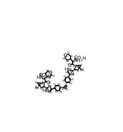 O=C(O)N[C@@H](C(=O)N1C2C[C@@H]2C[C@H]1c1nc(-c2ccc([C@@H]3C[C@H]3c3ccc(-c4c[nH]c([C@@H]5C[C@H]6CC6N5C(=O)[C@H](NC(=O)O)C5CCOCC5)n4)cc3)cc2)c[nH]1)C1CCOCC1